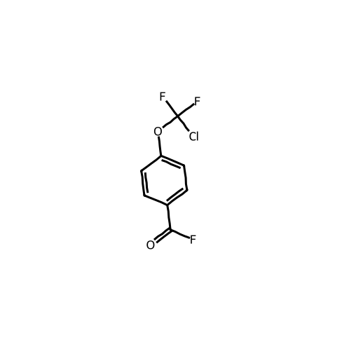 O=C(F)c1ccc(OC(F)(F)Cl)cc1